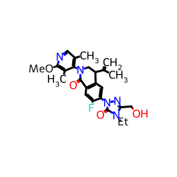 C=C(C)C1CN(c2c(C)cnc(OC)c2C)C(=O)c2cc(F)c(-n3nc(CO)n(CC)c3=O)cc21